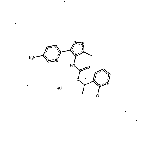 CC(OC(=O)Nc1c(-c2ccc(N)cn2)nnn1C)c1cccnc1Cl.Cl